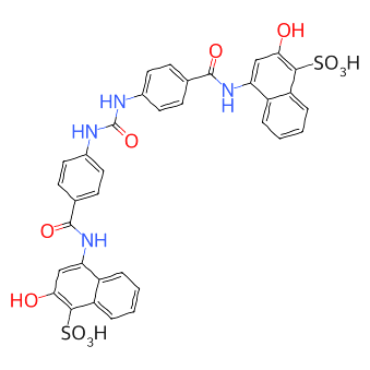 O=C(Nc1ccc(C(=O)Nc2cc(O)c(S(=O)(=O)O)c3ccccc23)cc1)Nc1ccc(C(=O)Nc2cc(O)c(S(=O)(=O)O)c3ccccc23)cc1